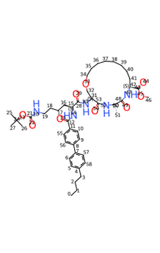 CCCCc1ccc(-c2ccc(C(=O)N[C@@H](CCCCNC(=O)OC(C)(C)C)C(=O)N[C@H]3COCCCCCCCC[C@@H](C(=O)OC)NC(=O)[C@H](C)NC3=O)cc2)cc1